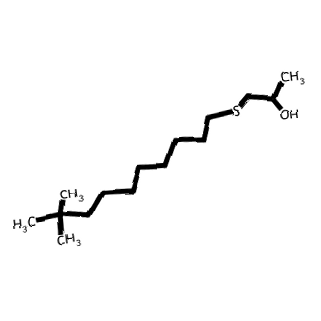 CC(O)CSCCCCCCCCC(C)(C)C